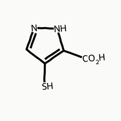 O=C(O)c1[nH]ncc1S